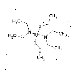 CC[O][Hf]([O]CC)([N](CC)CC)[N](CC)CC